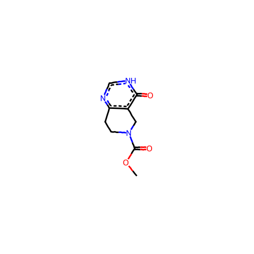 COC(=O)N1CCc2nc[nH]c(=O)c2C1